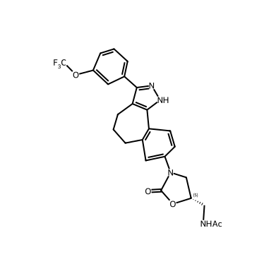 CC(=O)NC[C@H]1CN(c2ccc3c(c2)CCCc2c(-c4cccc(OC(F)(F)F)c4)n[nH]c2-3)C(=O)O1